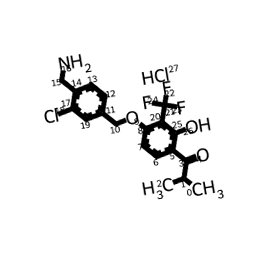 CC(C)C(=O)c1ccc(OCc2ccc(CN)c(Cl)c2)c(C(F)(F)F)c1O.Cl